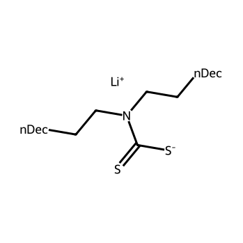 CCCCCCCCCCCCN(CCCCCCCCCCCC)C(=S)[S-].[Li+]